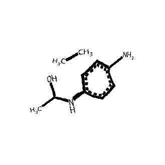 CC.CC(O)Nc1ccc(N)cc1